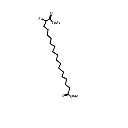 CCC(CCCCCCCCCCCCCCCCC(=O)OC)C(=O)OC